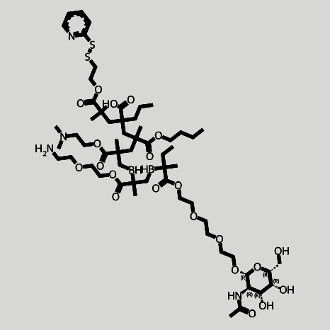 CCCCOC(=O)C(C)(CC(C)(CBC(C)(CBC(C)(CC)C(=O)OCCOCCOCCO[C@@H]1O[C@H](CO)[C@H](O)[C@H](O)[C@H]1NC(C)=O)C(=O)OCCOCCN)C(=O)OCCN(C)C)CC(CCC)(CC(C)(C)C(=O)OCCSSc1ccccn1)C(=O)O